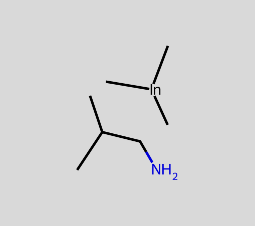 CC(C)CN.[CH3][In]([CH3])[CH3]